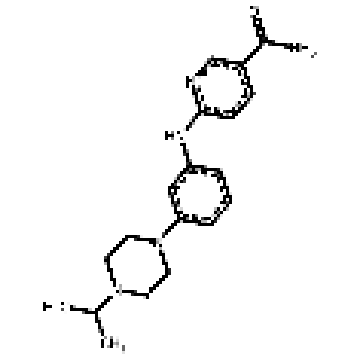 CC(C)N1CCN(c2cccc(Nc3ccc(C(N)=O)cn3)c2)CC1